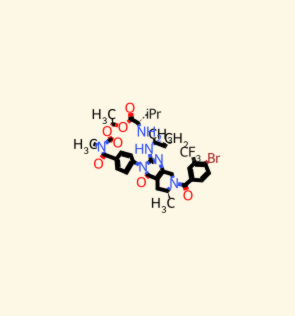 C=C[C@H](C)Nc1nc2c(c(=O)n1-c1ccc(C(=O)N(C)C(=O)O[C@H](C)OC(=O)[C@@H](N)C(C)C)cc1)C[C@@H](C)N(C(=O)c1ccc(Br)c(C(F)(F)F)c1)C2